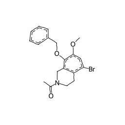 COc1cc(Br)c2c(c1OCc1ccccc1)CN(C(C)=O)CC2